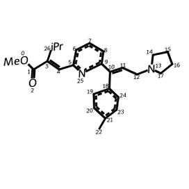 COC(=O)/C(=C/c1cccc(/C(=C/CN2CCCC2)c2ccc(C)cc2)n1)C(C)C